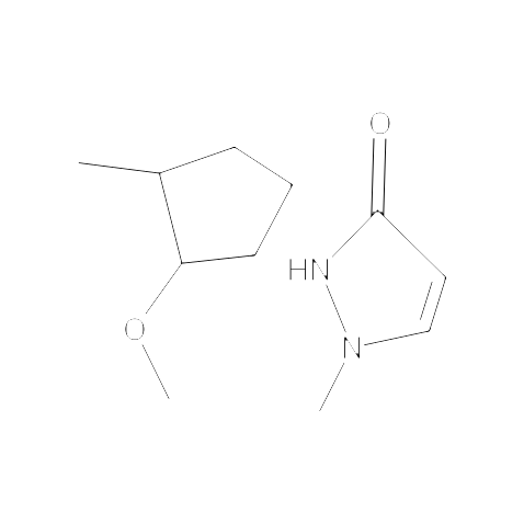 COC1CCCC1C.Cn1ccc(=O)[nH]1